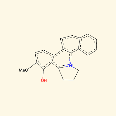 COc1ccc2c(c1O)c1[n+](c3c4ccccc4ccc23)CCC1